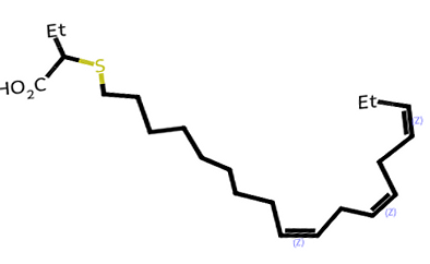 CC/C=C\C/C=C\C/C=C\CCCCCCCCSC(CC)C(=O)O